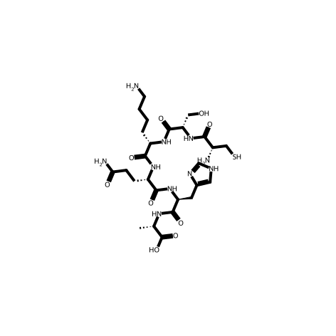 C[C@H](NC(=O)[C@H](Cc1c[nH]cn1)NC(=O)[C@H](CCC(N)=O)NC(=O)[C@H](CCCCN)NC(=O)[C@H](CO)NC(=O)[C@@H](N)CS)C(=O)O